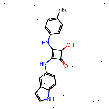 CCCCc1ccc(NC2=C(Nc3ccc4[nH]ccc4c3)C(=O)C2O)cc1